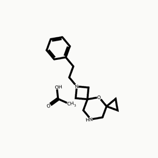 CC(=O)O.c1ccc(CCN2CC3(CNCC4(CC4)O3)C2)cc1